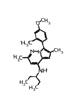 CCC(CC)Nc1cc(C)nn2c(-c3ccc(OC)cc3C)c(C)cc12